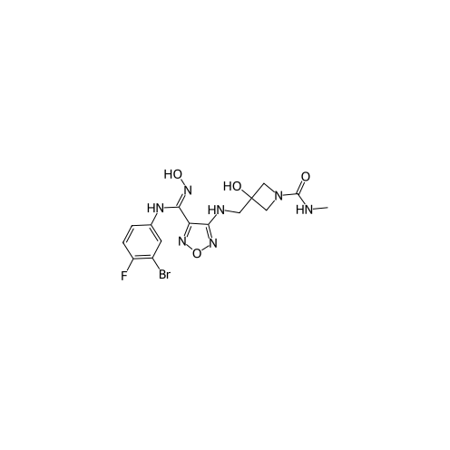 CNC(=O)N1CC(O)(CNc2nonc2/C(=N/O)Nc2ccc(F)c(Br)c2)C1